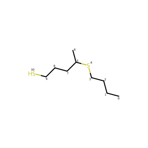 CCCCSC(C)CCCS